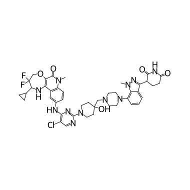 Cn1nc(C2CCC(=O)NC2=O)c2cccc(N3CCN(CC4(O)CCN(c5ncc(Cl)c(Nc6ccc7c(c6)c6c(c(=O)n7C)OCC(F)(F)C(C7CC7)N6)n5)CC4)CC3)c21